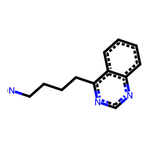 [N]CCCCc1ncnc2ccccc12